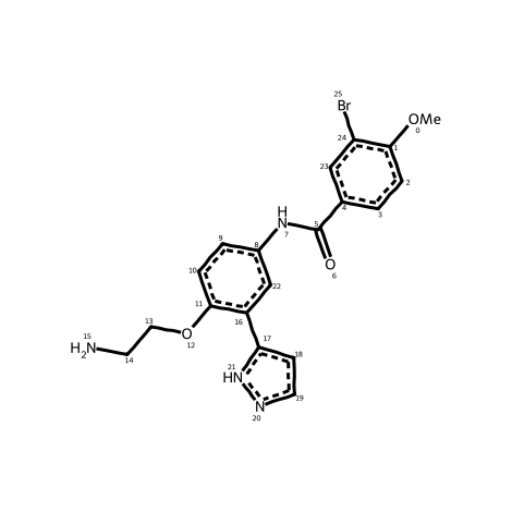 COc1ccc(C(=O)Nc2ccc(OCCN)c(-c3ccn[nH]3)c2)cc1Br